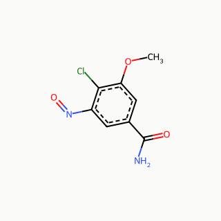 COc1cc(C(N)=O)cc(N=O)c1Cl